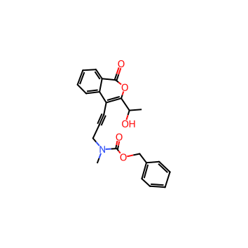 CC(O)c1oc(=O)c2ccccc2c1C#CCN(C)C(=O)OCc1ccccc1